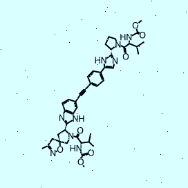 COC(=O)N[C@H](C(=O)N1CCC[C@H]1c1ncc(-c2ccc(C#Cc3ccc4nc([C@@H]5C[C@@]6(CC(C)=NO6)CN5C(=O)[C@@H](NC(=O)OC)C(C)C)[nH]c4c3)cc2)[nH]1)C(C)C